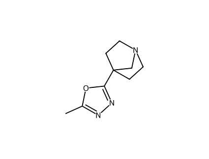 Cc1nnc(C23CCN(CC2)C3)o1